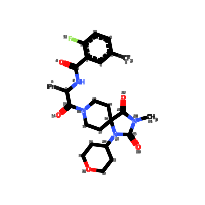 CC(C)C(NC(=O)c1cc(C(F)(F)F)ccc1F)C(=O)N1CCC2(CC1)C(=O)N(C)C(=O)N2C1CCOCC1